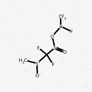 C[S+]([O-])C(F)(F)S(=O)OB(F)C(F)(F)F